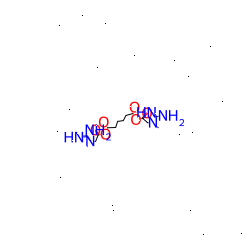 CN(CC(=O)OC(=O)CCCCC(=O)OC(=O)CN(C)C(=N)N)C(=N)N